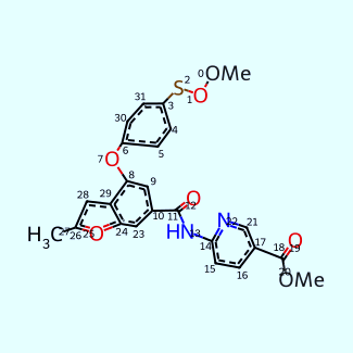 COOSc1ccc(Oc2cc(C(=O)Nc3ccc(C(=O)OC)cn3)cc3oc(C)cc23)cc1